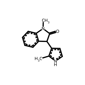 Cc1[nH]ccc1C1C(=O)N(C)c2ccccc21